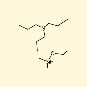 CCCN(CCC)CCC.CCO[SiH](C)C